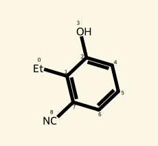 CCc1c(O)cccc1C#N